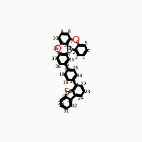 c1ccc2c(c1)Oc1cccc3c1B2c1cc(-c2ccc(-c4cccc5c4sc4ccccc45)cc2)ccc1O3